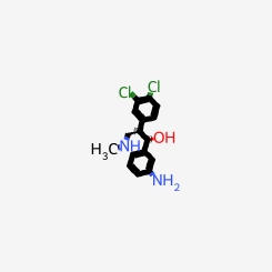 CNC[C@@H](c1ccc(Cl)c(Cl)c1)[C@@H](O)c1cccc(N)c1